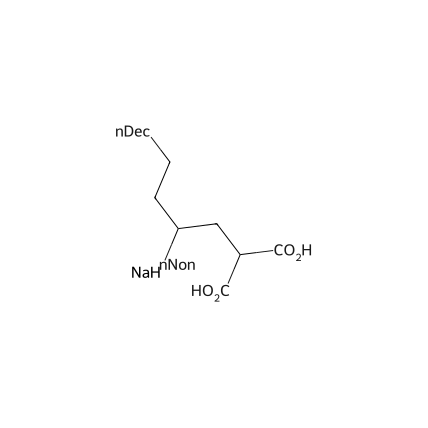 CCCCCCCCCCCCC(CCCCCCCCC)CC(C(=O)O)C(=O)O.[NaH]